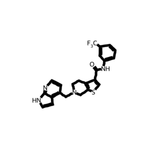 O=C(Nc1cccc(C(F)(F)F)c1)c1csc2c1CCN(Cc1ccnc3[nH]ccc13)C2